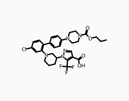 CCCOC(=O)N1CCN(c2ccc(-c3ccc(Cl)cc3N3CCCC(n4ncc(C(=O)O)c4C(F)(F)F)C3)cc2)CC1